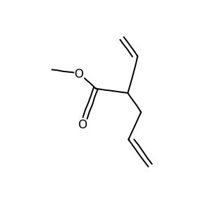 C=CCC(C=C)C(=O)OC